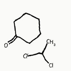 CC(Cl)Cl.O=C1CCCCC1